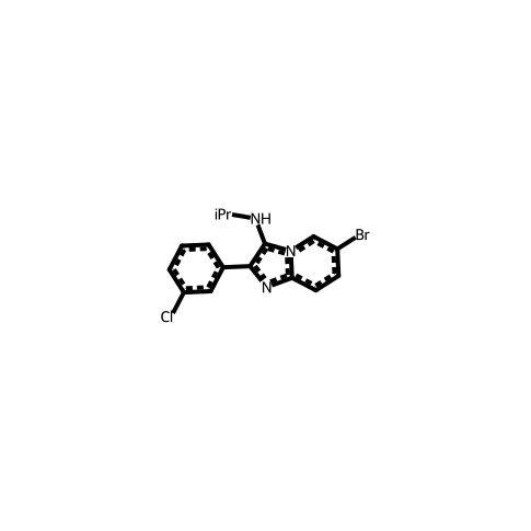 CC(C)Nc1c(-c2cccc(Cl)c2)nc2ccc(Br)cn12